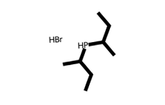 Br.CCC(C)PC(C)CC